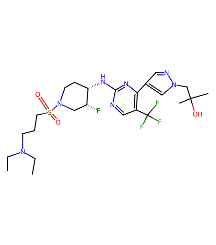 CCN(CC)CCCS(=O)(=O)N1CC[C@H](Nc2ncc(C(F)(F)F)c(-c3cnn(CC(C)(C)O)c3)n2)[C@H](F)C1